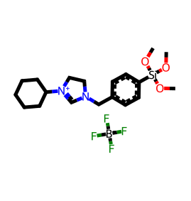 CO[Si](OC)(OC)c1ccc(CN2C=[N+](C3CCCCC3)CC2)cc1.F[B-](F)(F)F